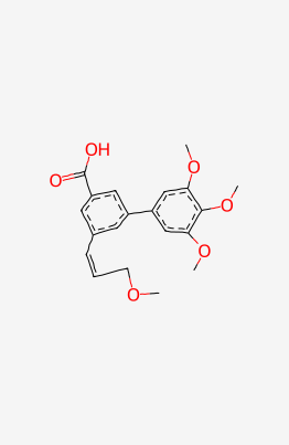 COC/C=C\c1cc(C(=O)O)cc(-c2cc(OC)c(OC)c(OC)c2)c1